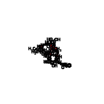 CN[C@H](CC(C)C)C(=O)N[C@H]1C(=O)N[C@@H](CC(N)=O)C(=O)NC2C(=O)N[C@H]3C(=O)N[C@H](C(=O)NC(C(=O)NCCCNC(=O)c4cc5ccccc5[nH]4)c4cc(O)cc(O)c4-c4cc3ccc4O)[C@H](O)c3ccc(c(Cl)c3)Oc3cc2cc(c3O[C@@H]2O[C@H](CO)[C@@H](O)[C@H](O)[C@H]2OC2C[C@](C)(N)[C@H](O)[C@H](C)O2)Oc2ccc(cc2Cl)[C@H]1O